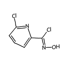 ON=C(Cl)c1cccc(Cl)n1